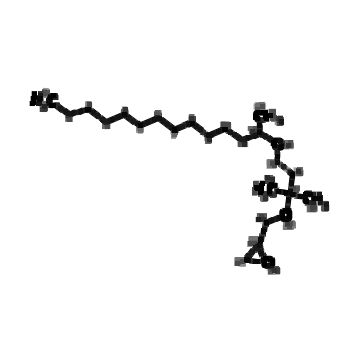 CCCCCCCCCCCCC(C)OCCC(C)(C)OCC1CO1